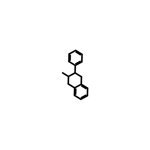 CC1Cc2ccccc2CC1c1ccccc1